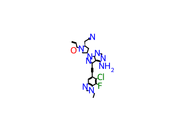 C=CC(=O)N1C[C@@H](n2nc(C#Cc3cc4ncn(CC)c4c(F)c3Cl)c3c(N)ncnc32)C[C@@H]1CC#N